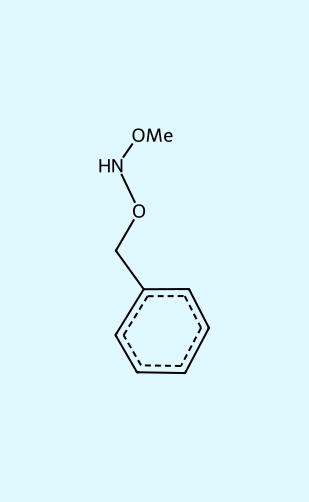 CONOCc1ccccc1